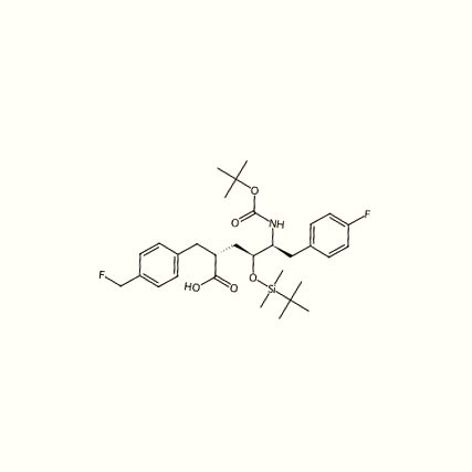 CC(C)(C)OC(=O)N[C@@H](Cc1ccc(F)cc1)[C@H](C[C@@H](Cc1ccc(CF)cc1)C(=O)O)O[Si](C)(C)C(C)(C)C